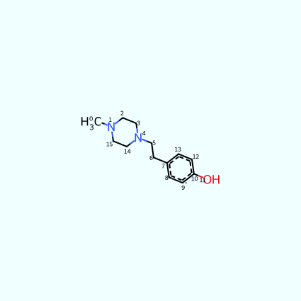 CN1CCN(CCc2c[c]c(O)cc2)CC1